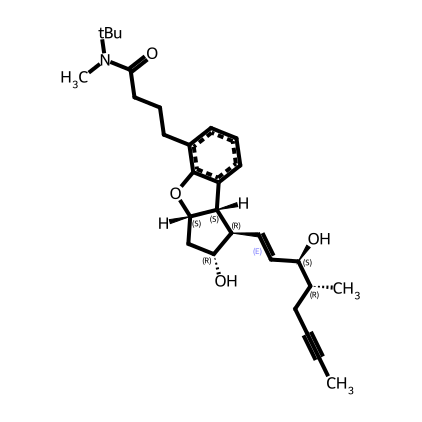 CC#CC[C@@H](C)[C@H](O)/C=C/[C@@H]1[C@H]2c3cccc(CCCC(=O)N(C)C(C)(C)C)c3O[C@H]2C[C@H]1O